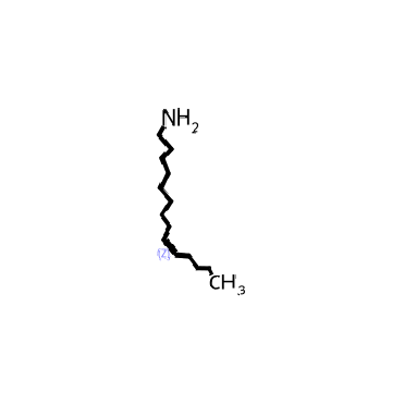 CCCC/C=C\CCCCCCCCN